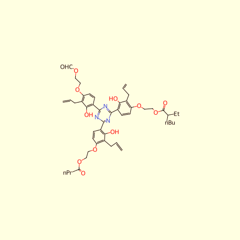 C=CCc1c(OCCOC=O)ccc(-c2nc(-c3ccc(OCCOC(=O)CCC)c(CC=C)c3O)nc(-c3ccc(OCCOC(=O)C(CC)CCCC)c(CC=C)c3O)n2)c1O